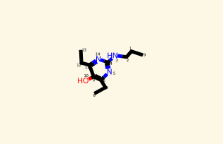 CCCNc1nc(CC)c(O)c(CC)n1